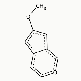 COc1[c]c2ccocc-2c1